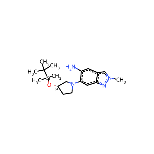 Cn1cc2cc(N)c(N3CC[C@H](O[Si](C)(C)C(C)(C)C)C3)cc2n1